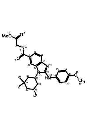 COC(=O)CNC(=O)c1ccc2nc(Nc3ccc(OC(F)(F)F)cc3)n([C@H]3C[C@@H](C)CC(C)(C)C3)c2c1